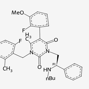 CCCCN[C@@H](Cn1c(=O)c(-c2cccc(OC)c2F)c(C)n(Cc2c(C)cccc2F)c1=O)c1ccccc1